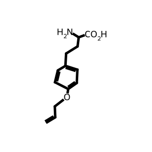 C=CCOc1ccc(CCC(N)C(=O)O)cc1